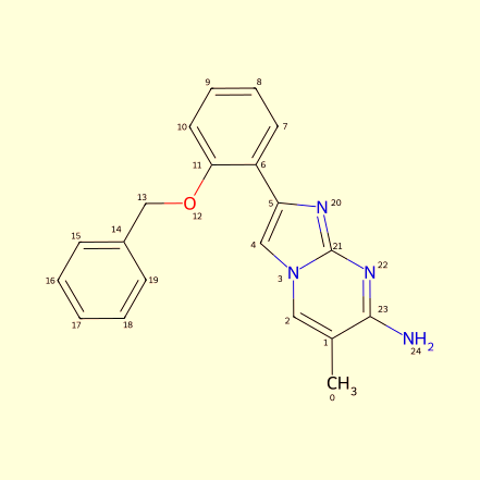 Cc1cn2cc(-c3ccccc3OCc3ccccc3)nc2nc1N